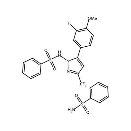 COc1ccc(-c2cc(C(F)(F)F)nn2NS(=O)(=O)c2ccccc2)cc1F.NS(=O)(=O)c1ccccc1